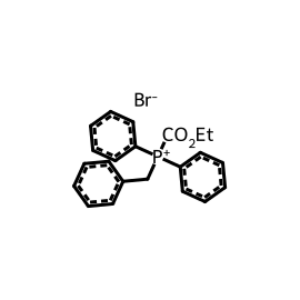 CCOC(=O)[P+](Cc1ccccc1)(c1ccccc1)c1ccccc1.[Br-]